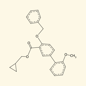 COc1ccccc1-c1ccc(OCc2ccccc2)c(C(=O)OCC2CC2)c1